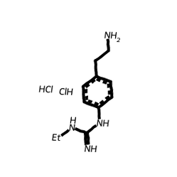 CCNC(=N)Nc1ccc(CCN)cc1.Cl.Cl